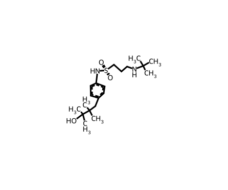 CC(C)(C)NCCCS(=O)(=O)Nc1ccc(CC(C)(C)C(C)(C)O)cc1